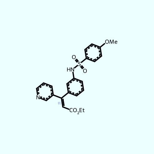 CCOC(=O)/C=C(/c1cccnc1)c1cccc(NS(=O)(=O)c2ccc(OC)cc2)c1